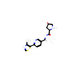 Cc1ncsc1-c1ccc([C@H](C)NC(=O)C2CC(O)CN2)cn1